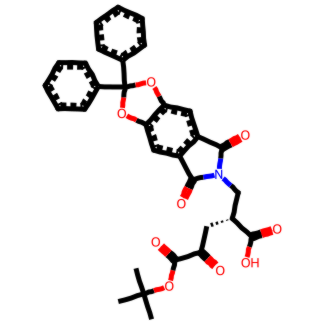 CC(C)(C)OC(=O)C(=O)C[C@H](CN1C(=O)c2cc3c(cc2C1=O)OC(c1ccccc1)(c1ccccc1)O3)C(=O)O